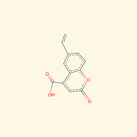 C=Cc1ccc2oc(=O)cc(C(=O)O)c2c1